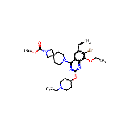 C=Cc1cc2c(N3CCC4(CC3)CN(C(=O)OC(C)(C)C)C4)nc(OC3CCN(CC(F)(F)F)CC3)nc2c(OCC(F)(F)F)c1Br